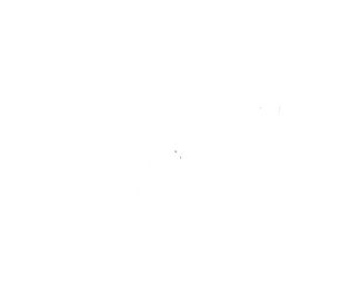 O=C(c1cccc2ccccc12)N1CC(CO)C(c2ccccc2)C1